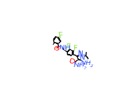 Cc1ccc(F)cc1C(=O)NCc1ccc(-c2nn(C(C)C)c(N)c2C(N)=O)c(F)c1F